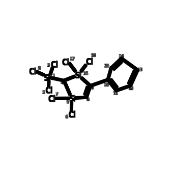 Cl[Si](Cl)(Cl)C1[Si](Cl)(Cl)C=C(c2ccccc2)[Si]1(Cl)Cl